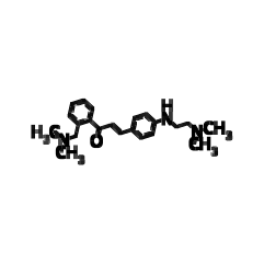 CN(C)CCNc1ccc(C=CC(=O)c2ccccc2CN(C)C)cc1